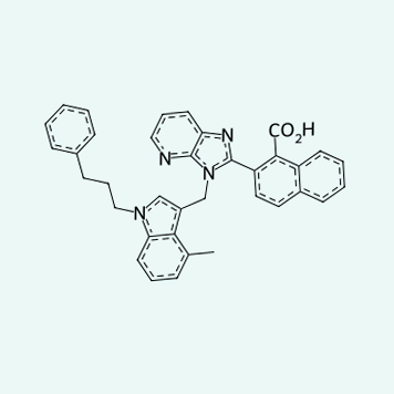 Cc1cccc2c1c(Cn1c(-c3ccc4ccccc4c3C(=O)O)nc3cccnc31)cn2CCCc1ccccc1